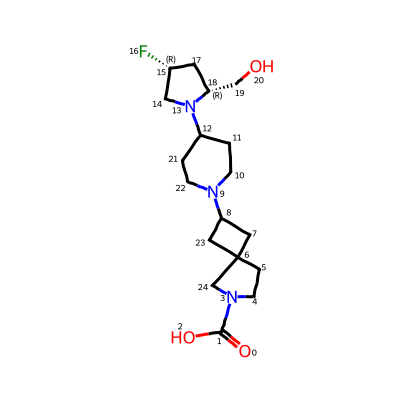 O=C(O)N1CCC2(CC(N3CCC(N4C[C@H](F)C[C@@H]4CO)CC3)C2)C1